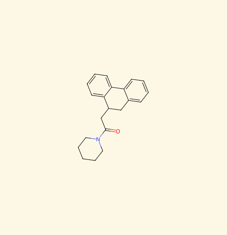 O=C(CC1Cc2ccccc2-c2ccccc21)N1CCCCC1